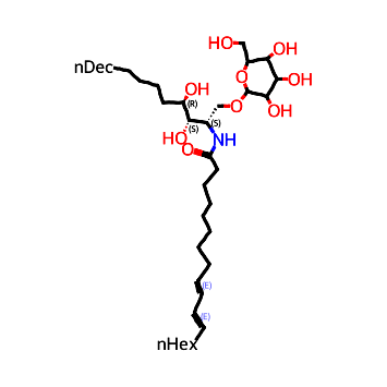 CCCCCC/C=C/C=C/CCCCCCCC(=O)N[C@@H](COC1OC(CO)C(O)C(O)C1O)[C@H](O)[C@H](O)CCCCCCCCCCCCCC